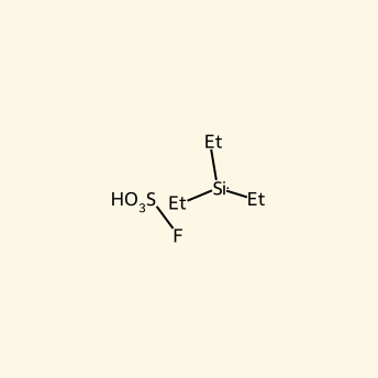 CC[Si](CC)CC.O=S(=O)(O)F